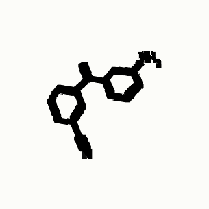 C=C(c1cccc(N)c1)c1cccc(C#N)c1